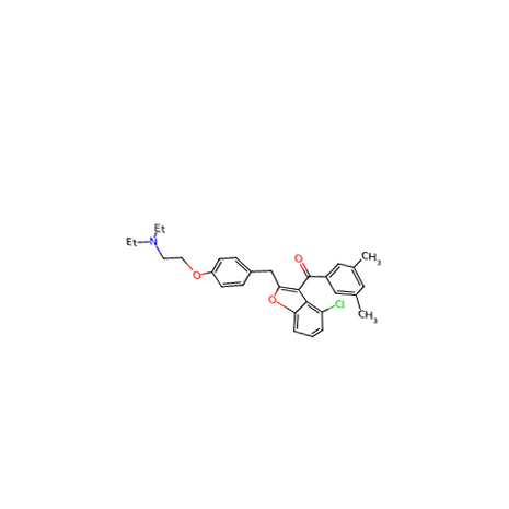 CCN(CC)CCOc1ccc(Cc2oc3cccc(Cl)c3c2C(=O)c2cc(C)cc(C)c2)cc1